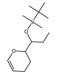 CCC(O[Si](C)(C)C(C)(C)C)C1CCC=CO1